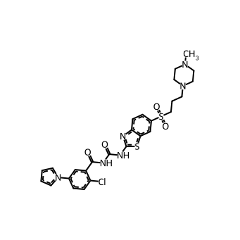 CN1CCN(CCCS(=O)(=O)c2ccc3nc(NC(=O)NC(=O)c4cc(-n5cccc5)ccc4Cl)sc3c2)CC1